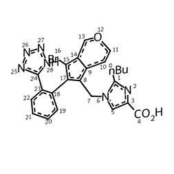 CCCCc1nc(C(=O)O)cn1Cc1c2ccocc-2c(Br)c1-c1ccccc1-c1nnn[nH]1